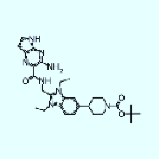 CCn1c(CNC(=O)c2nc3cc[nH]c3nc2N)[n+](CC)c2ccc(C3CCN(C(=O)OC(C)(C)C)CC3)cc21